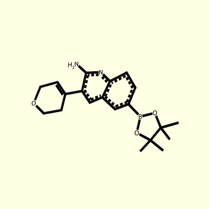 CC1(C)OB(c2ccc3nc(N)c(C4=CCOCC4)cc3c2)OC1(C)C